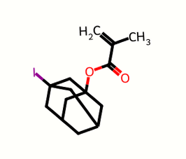 C=C(C)C(=O)OC12CC3CC(CC(I)(C3)C1)C2